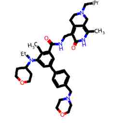 CCN(c1cc(-c2ccc(CN3CCOCC3)cc2)cc(C(=O)NCc2c3c(c(C)[nH]c2=O)CN(CC(C)C)CC3)c1C)C1CCOCC1